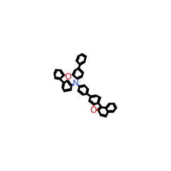 c1ccc(-c2ccc(N(c3ccc(-c4ccc5c(c4)oc4ccc6ccccc6c45)cc3)c3cccc4c3oc3ccccc34)cc2)cc1